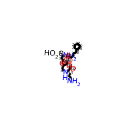 NCCC[C@@H]1NCCC(OC(=O)C[C@H](N)C(=O)O)C(COC(=O)CCCc2ccccc2)OC1=O